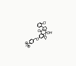 COc1cc(OCc2ccc(S(C)(=O)=O)cc2)cc(C(=O)N2C(c3ccccc3Cl)CC[C@H]2C(=O)O)c1